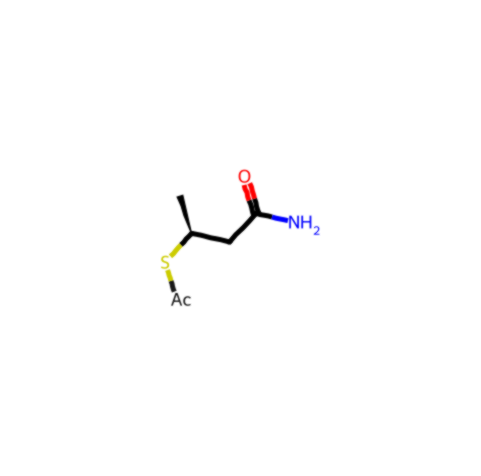 CC(=O)S[C@@H](C)CC(N)=O